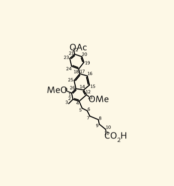 COc1c(C)c(CCCCCCC(=O)O)c(OC)c2ccc(-c3ccc(OC(C)=O)cc3)cc12